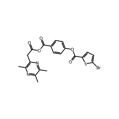 Cc1nc(C)c(CC(=O)OC(=O)c2ccc(OC(=O)c3ccc(Br)s3)cc2)nc1C